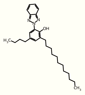 CCCCCCCCCCCCc1cc(CCCC)cc(-n2nc3ccccc3n2)c1O